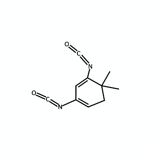 CC1(C)CC=C(N=C=O)C=C1N=C=O